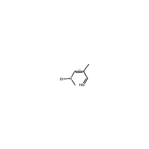 CCN(C)/C=C(/C)C=N